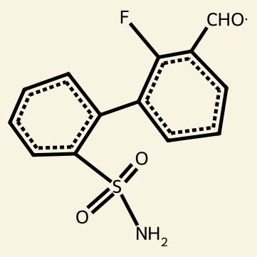 NS(=O)(=O)c1ccccc1-c1cccc([C]=O)c1F